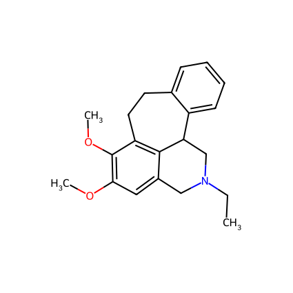 CCN1Cc2cc(OC)c(OC)c3c2C(C1)c1ccccc1CC3